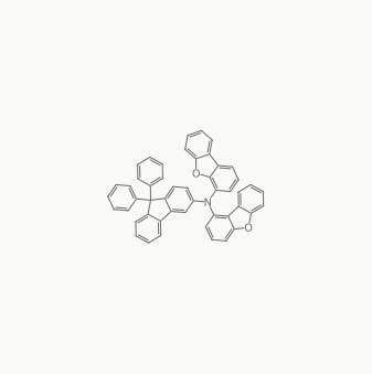 c1ccc(C2(c3ccccc3)c3ccccc3-c3cc(N(c4cccc5c4oc4ccccc45)c4cccc5oc6ccccc6c45)ccc32)cc1